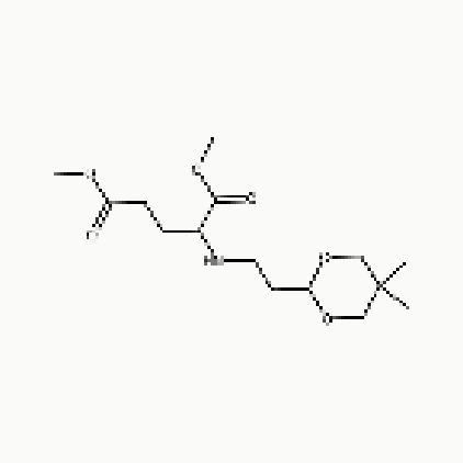 COC(=O)CCC(NCCC1OCC(C)(C)CO1)C(=O)OC